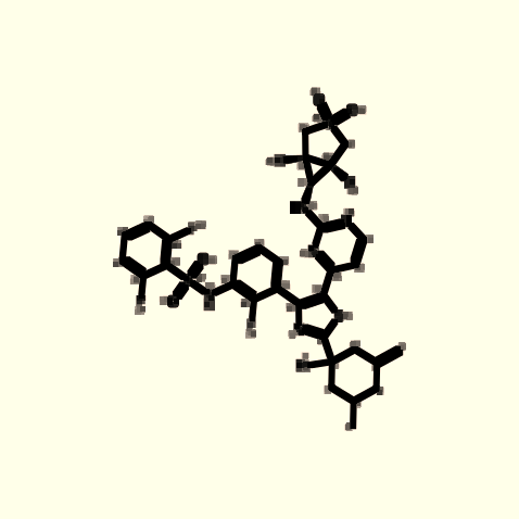 C=C1CC(C)CC(CC)(c2nc(-c3cccc(NS(=O)(=O)c4c(F)cccc4F)c3F)c(-c3ccnc(N[C@H]4[C@@H]5CS(=O)(=O)C[C@@H]54)n3)s2)C1